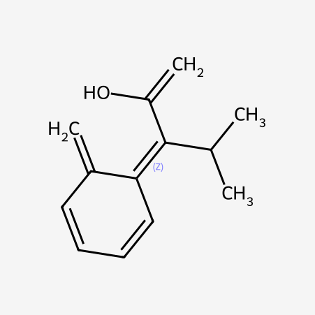 C=C(O)/C(=c1/ccccc1=C)C(C)C